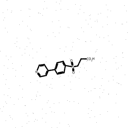 O=C(O)CCS(=O)(=O)c1ccc(-c2ccncc2)cc1